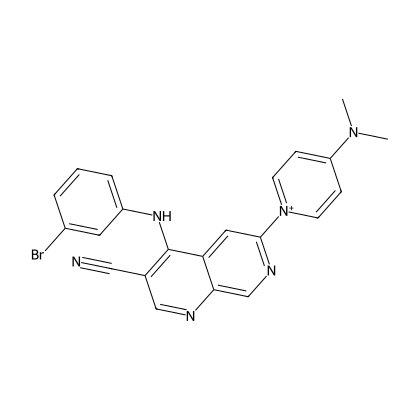 CN(C)c1cc[n+](-c2cc3c(Nc4cccc(Br)c4)c(C#N)cnc3cn2)cc1